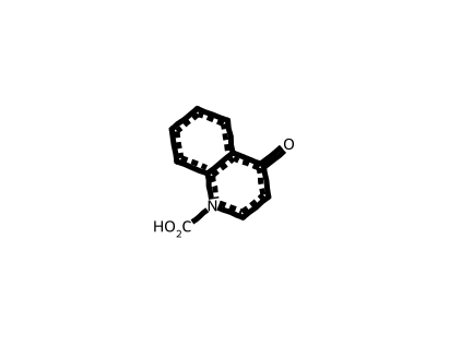 O=C(O)n1ccc(=O)c2ccccc21